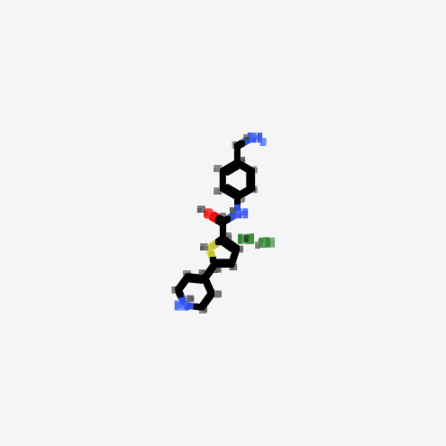 Cl.Cl.NCc1ccc(NC(=O)c2ccc(C3=CCNCC3)s2)cc1